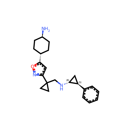 N[C@H]1CC[C@H](c2cc(C3(CN[C@@H]4C[C@H]4c4ccccc4)CC3)no2)CC1